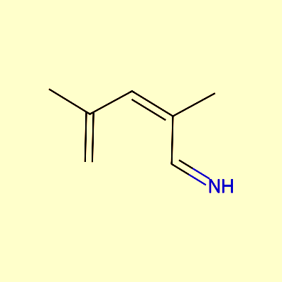 C=C(C)/C=C(/C)C=N